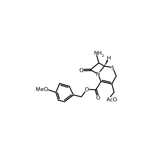 COc1ccc(COC(=O)C2=C(COC(C)=O)CS[C@H]3C(N)C(=O)N23)cc1